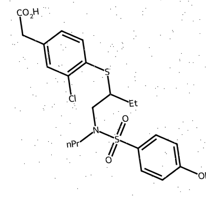 CCCN(CC(CC)Sc1ccc(CC(=O)O)cc1Cl)S(=O)(=O)c1ccc(O)cc1